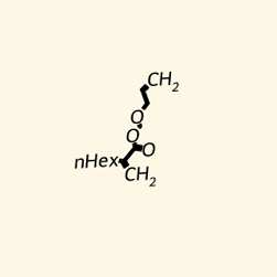 C=CCOCOC(=O)C(=C)CCCCCC